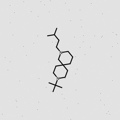 CC(C)CCN1CCCC2(CCN(C(C)(C)C)CC2)C1